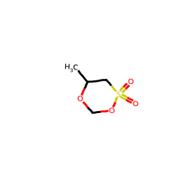 CC1CS(=O)(=O)OCO1